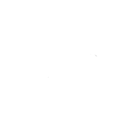 C#CC1(O)CC(C)(C(=O)OC)C1